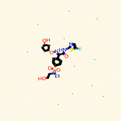 CCN(CCO)S(=O)(=O)c1ccc(/C(=N\O[C@@H]2CC[C@@H](O)C2)C(=O)Nc2ncc(F)s2)cc1